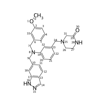 COc1cccc(CN(Cc2ccc3cn[nH]c3c2)c2cccc(CN3CCNC(=O)C3)c2)c1